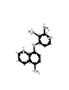 Cc1ccc(Oc2ccnc(N)c2N)c2ncccc12